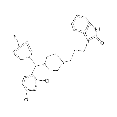 O=c1[nH]c2ccccc2n1CCCN1CCN(C(c2ccc(F)cc2)c2ccc(Cl)cc2Cl)CC1